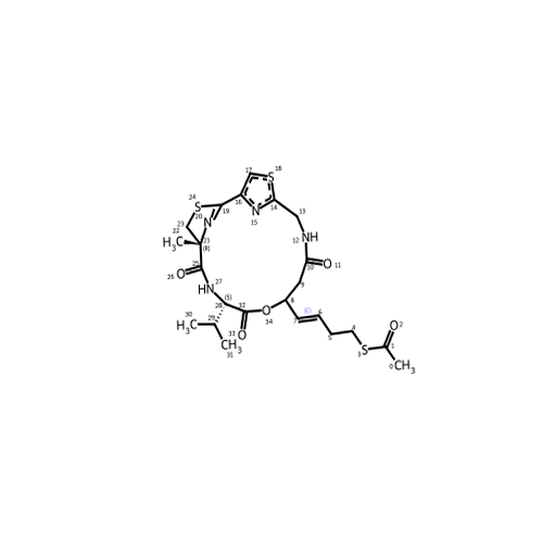 CC(=O)SCC/C=C/C1CC(=O)NCc2nc(cs2)C2=N[C@@](C)(CS2)C(=O)N[C@@H](C(C)C)C(=O)O1